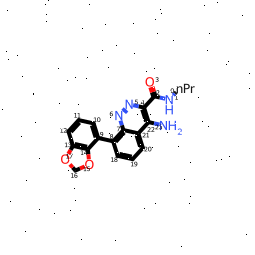 CCCNC(=O)c1nnc2c(-c3cccc4c3OCO4)cccc2c1N